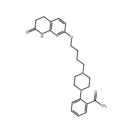 CC(=O)c1ccccc1N1CCN(CCCCOc2ccc3c(n2)NC(=O)CC3)CC1